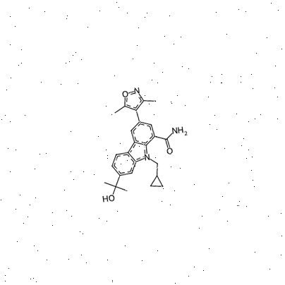 Cc1noc(C)c1-c1cc(C(N)=O)c2c(c1)c1ccc(C(C)(C)O)cc1n2CC1CC1